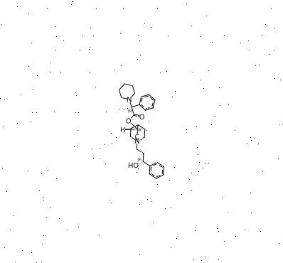 C[C@@](C(=O)O[C@H]1C[N+]2(CC[C@@H](O)c3ccccc3)CCC1CC2)(c1ccccc1)N1CCCCC1